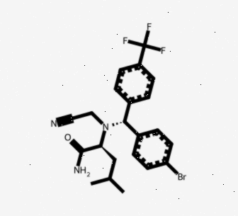 CC(C)C[C@@H](C(N)=O)N(CC#N)[C@@H](c1ccc(Br)cc1)c1ccc(C(F)(F)F)cc1